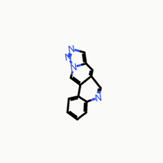 c1ccc2c(c1)ncc1cc3cnnn3cc12